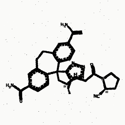 C=C(N)c1ccc2c(c1)CCc1cc(C(N)=O)ccc1C2(C[C@@H](C)NCC(=O)N1CCC[C@H]1C#N)c1nnnn1C